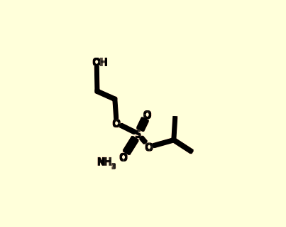 CC(C)OS(=O)(=O)OCCO.N